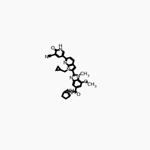 COc1cc(C(=O)N2CC3CCC2[C@@H]3N)cc2nc(-c3cc4ccc(-c5c[nH]c(=O)c(C#N)c5)nc4n3CC3CC3)n(C)c12